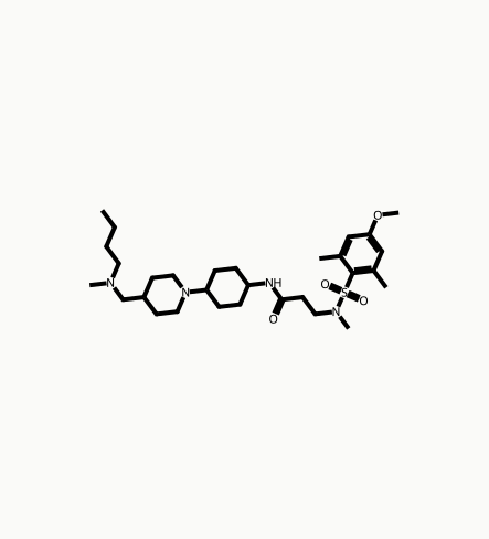 CCCCN(C)CC1CCN(C2CCC(NC(=O)CCN(C)S(=O)(=O)c3c(C)cc(OC)cc3C)CC2)CC1